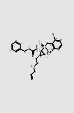 C=CCOCC[C@@H]1C[C@]1(NC(=O)OCc1ccccc1)P(=O)(Cc1c(F)cccc1F)OCC